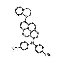 CC(C)(C)c1ccc(N(c2ccc(C#N)cc2)c2ccc3ccc4c(N5CCCc6ccccc65)ccc5ccc2c3c54)cc1